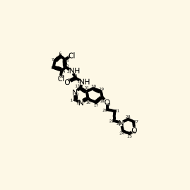 O=C(Nc1c(Cl)cccc1Cl)Nc1ncnc2cc(OCCCN3CCOCC3)ccc12